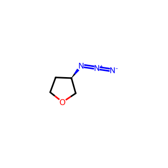 [N-]=[N+]=N[C@@H]1CCOC1